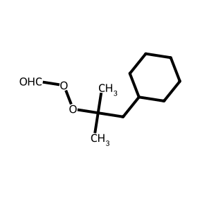 CC(C)(CC1CCCCC1)OOC=O